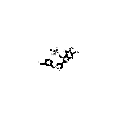 CCCn1c(C#N)nc2nc(-c3cnn(Cc4cccc(CF)c4)c3)n(COP(=O)(O)O)c2c1=O